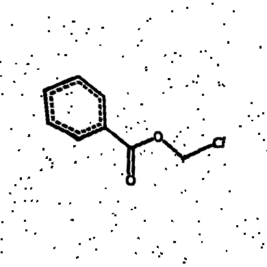 O=C(O[CH]Cl)c1ccccc1